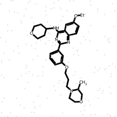 CCOc1ccc2nc(-c3cccc(OCCCN4CCOCC4C)c3)nc(NC3CCOCC3)c2c1